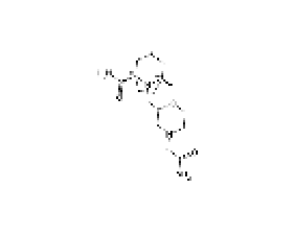 NC(=O)CN1CCOC(CN2[C@@H]3C[CH]C[C@@]2(C(N)=O)CC3)C1